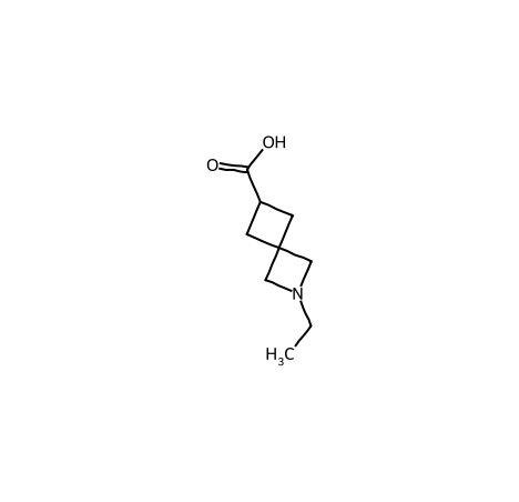 CCN1CC2(CC(C(=O)O)C2)C1